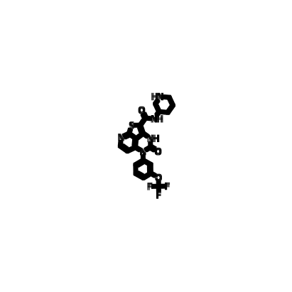 O=C(NC1CCCNC1)c1sc2nccc3c2c1NC(=O)N3c1cccc(OC(F)(F)F)c1